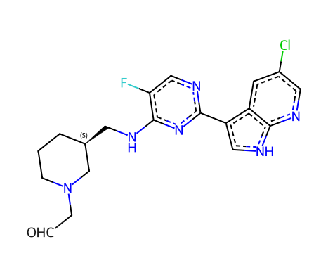 O=CCN1CCC[C@@H](CNc2nc(-c3c[nH]c4ncc(Cl)cc34)ncc2F)C1